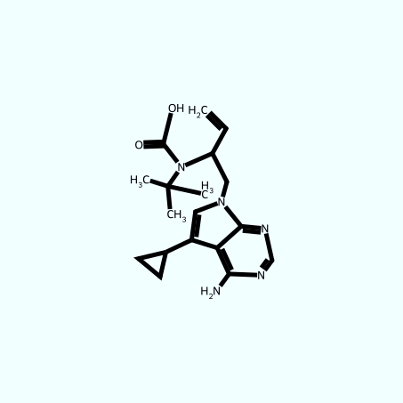 C=CC(Cn1cc(C2CC2)c2c(N)ncnc21)N(C(=O)O)C(C)(C)C